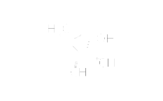 C#Cc1cc(C)cc(O)c1C#C